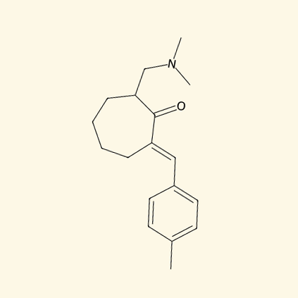 Cc1ccc(C=C2CCCCC(CN(C)C)C2=O)cc1